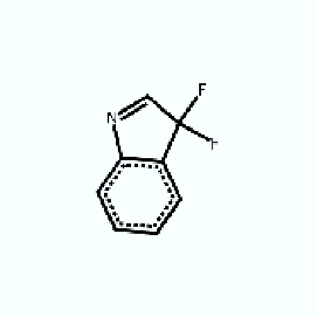 FC1(F)C=Nc2ccccc21